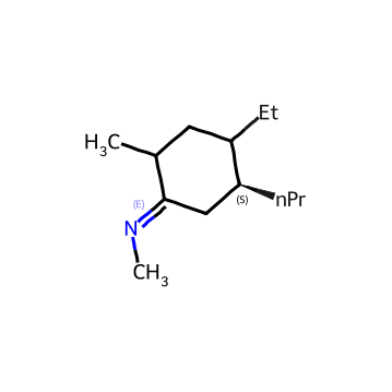 CCC[C@H]1C/C(=N\C)C(C)CC1CC